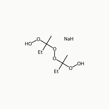 CCC(C)(OO)OOC(C)(CC)OO.[NaH]